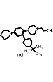 CCCN1CCN(c2ccc(N3CCOCC3)cc2C2CCC(C(C)(C)C)CC2)CC1.Cl